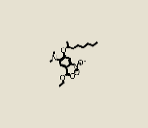 CCCCCCC(C)Oc1cc([N+](=O)[O-])c(C(=O)OCC)cc1N(C)C